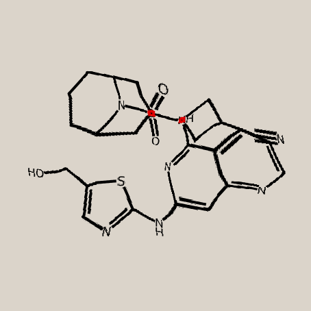 N#CC1CN(S(=O)(=O)N2C3CCCC2CC(Nc2nc(Nc4ncc(CO)s4)cc4ncccc24)C3)C1